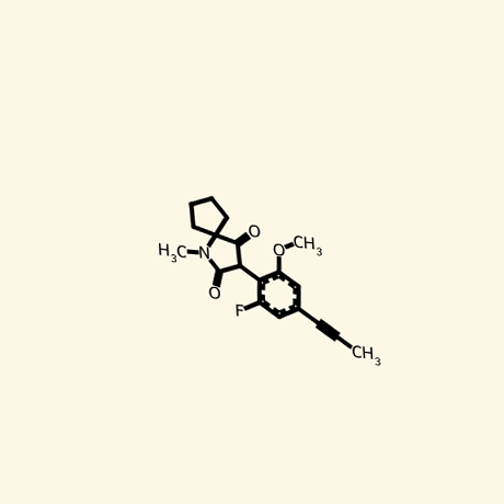 CC#Cc1cc(F)c(C2C(=O)N(C)C3(CCCC3)C2=O)c(OC)c1